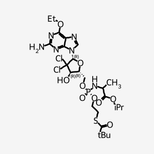 CCOc1nc(N)nc2c1ncn2[C@@H]1O[C@H](COP(=O)(NC(C)C(=O)OC(C)C)OCCSC(=O)C(C)(C)C)[C@@H](O)C1(Cl)Cl